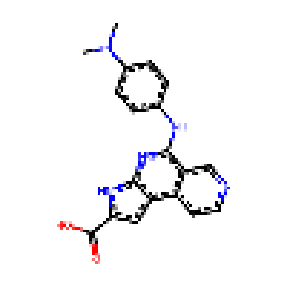 CN(C)c1ccc(Nc2nc3[nH]c(C(=O)O)cc3c3ccncc23)cc1